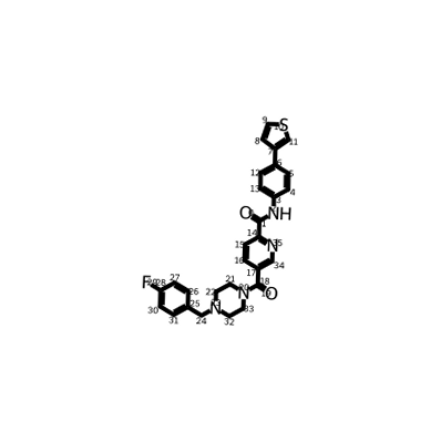 O=C(Nc1ccc(-c2ccsc2)cc1)c1ccc(C(=O)N2CCN(Cc3ccc(F)cc3)CC2)cn1